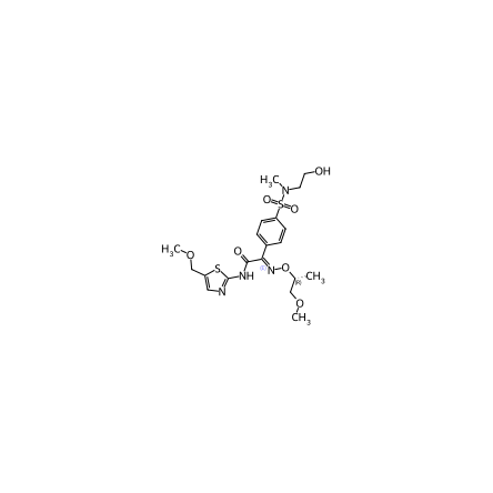 COCc1cnc(NC(=O)/C(=N/O[C@H](C)COC)c2ccc(S(=O)(=O)N(C)CCO)cc2)s1